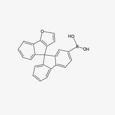 OB(O)c1ccc2c(c1)C1(c3ccccc3-2)c2ccccc2-c2occc21